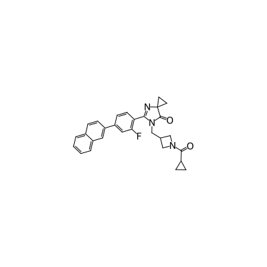 O=C(C1CC1)N1CC(CN2C(=O)C3(CC3)N=C2c2ccc(-c3ccc4ccccc4c3)cc2F)C1